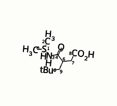 C[SH](C)NC(=O)C(CC(=O)O)CC(C)(C)C